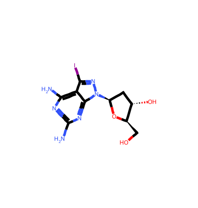 Nc1nc(N)c2c(I)nn([C@H]3C[C@H](O)[C@@H](CO)O3)c2n1